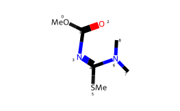 COC(=O)N=C(SC)N(C)C